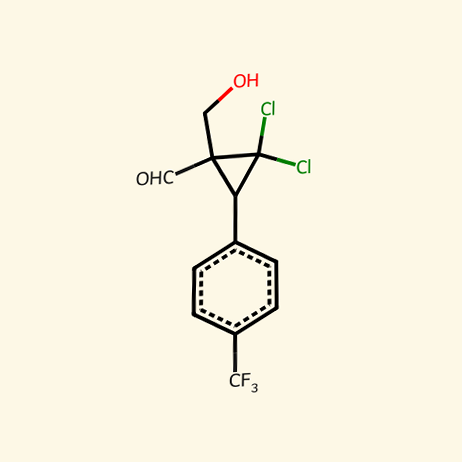 O=CC1(CO)C(c2ccc(C(F)(F)F)cc2)C1(Cl)Cl